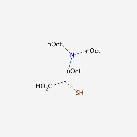 CCCCCCCCN(CCCCCCCC)CCCCCCCC.O=C(O)CS